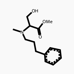 COC(=O)C(CO)N(C)CCCc1ccccc1